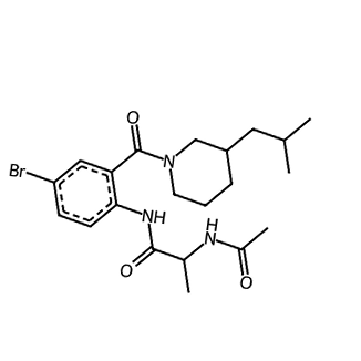 CC(=O)NC(C)C(=O)Nc1ccc(Br)cc1C(=O)N1CCCC(CC(C)C)C1